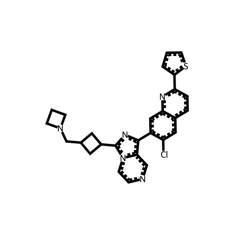 Clc1cc2ccc(-c3cccs3)nc2cc1-c1nc(C2CC(CN3CCC3)C2)n2ccncc12